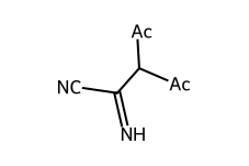 CC(=O)C(C(=N)C#N)C(C)=O